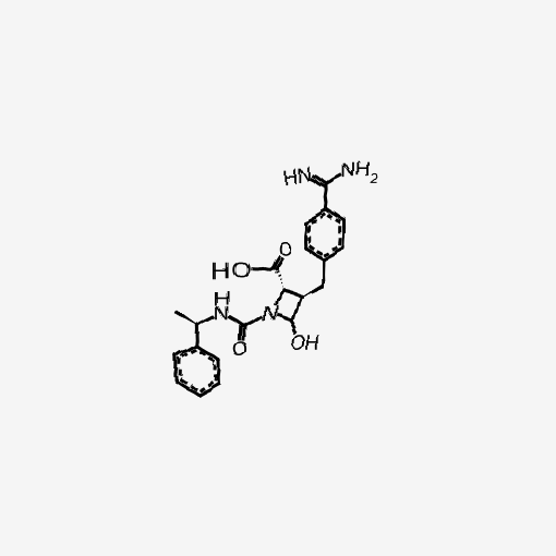 C[C@@H](NC(=O)N1C(O)[C@H](Cc2ccc(C(=N)N)cc2)[C@H]1C(=O)O)c1ccccc1